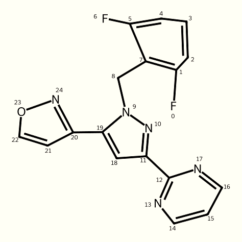 Fc1cccc(F)c1Cn1nc(-c2ncccn2)cc1-c1ccon1